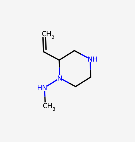 C=CC1CNCCN1NC